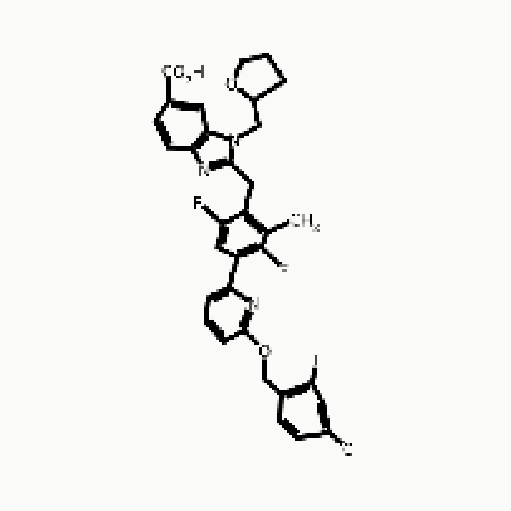 Cc1c(F)c(-c2cccc(OCc3ccc(Cl)cc3F)n2)cc(F)c1Cc1nc2ccc(C(=O)O)cc2n1CC1CCCO1